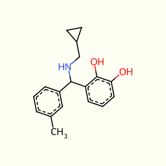 Cc1cccc(C(NCC2CC2)c2cccc(O)c2O)c1